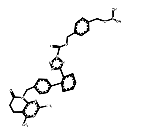 Cc1nc(C)c2c(n1)N(Cc1ccc(-c3ccccc3-c3nnn(C(=O)OCc4ccc(CON(O)O)cc4)n3)cc1)C(=O)CC2